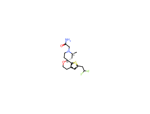 C[C@H]1C[C@@]2(CCN1CC(N)=O)OCCc1cc(CC(F)F)sc12